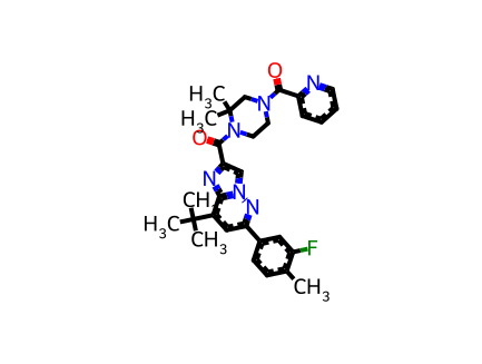 Cc1ccc(-c2cc(C(C)(C)C)c3nc(C(=O)N4CCN(C(=O)c5ccccn5)CC4(C)C)cn3n2)cc1F